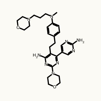 CN(CCCN1CCOCC1)c1ccc(CCc2c(N)nc(N3CCOCC3)nc2-c2cnc(N)nc2)cc1